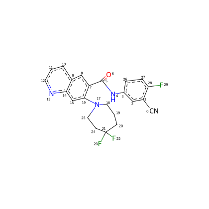 N#Cc1cc(NC(=O)c2cc3cccnc3cc2N2CCCC(F)(F)CC2)ccc1F